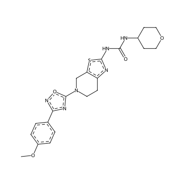 COc1ccc(-c2noc(N3CCc4nc(NC(=O)NC5CCOCC5)sc4C3)n2)cc1